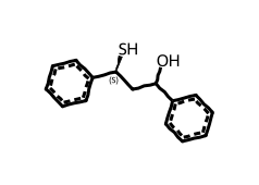 OC(C[C@H](S)c1ccccc1)c1ccccc1